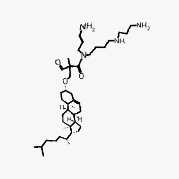 CC(C)CCC[C@@H](C)[C@H]1CC[C@H]2[C@@H]3CC=C4C[C@@H](OCC(C)(C=O)C(=O)N(CCCN)CCCCNCCCN)CC[C@]4(C)[C@H]3CC[C@]12C